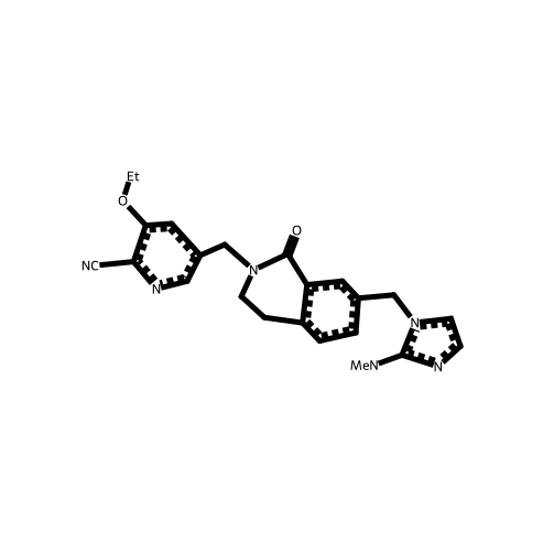 CCOc1cc(CN2CCc3ccc(Cn4ccnc4NC)cc3C2=O)cnc1C#N